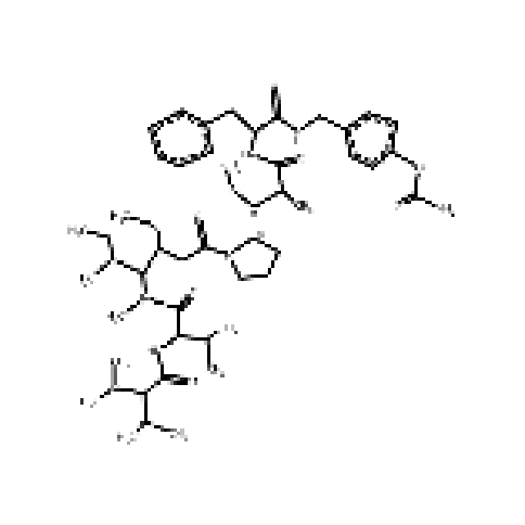 CCC(C)C(C(CC(=O)N1CCC[C@H]1C(OC)C(C)C(=O)NC(Cc1ccccc1)C(=O)NCc1ccc(OC(N)=O)cc1)OC)N(C)C(=O)C(NC(=O)C(C(C)C)N(C)C)C(C)C